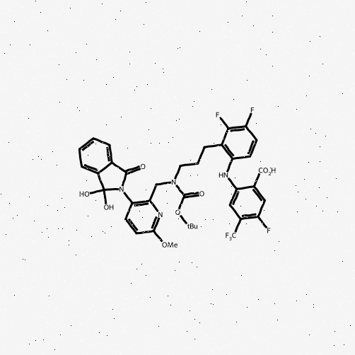 COc1ccc(N2C(=O)c3ccccc3C2(O)O)c(CN(CCCc2c(Nc3cc(C(F)(F)F)c(F)cc3C(=O)O)ccc(F)c2F)C(=O)OC(C)(C)C)n1